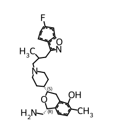 Cc1ccc2c(c1O)C[C@@H](C1CCN(CC(C)Cc3noc4cc(F)ccc34)CC1)O[C@H]2CN